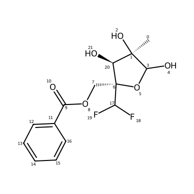 C[C@]1(O)C(O)O[C@@](COC(=O)c2ccccc2)(C(F)F)[C@H]1O